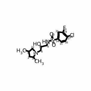 CC1CC(C)N(C[C@@H](O)CNS(=O)(=O)c2ccc(Cl)c(F)c2)C1